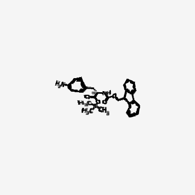 C[Si](C)(C)OC(=O)[C@H](Cc1ccc(N)cc1)NC(=O)OCC1c2ccccc2-c2ccccc21